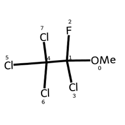 COC(F)(Cl)C(Cl)(Cl)Cl